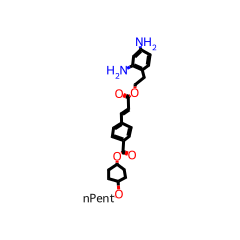 CCCCCOC1CCC(OC(=O)c2ccc(/C=C/C(=O)OCCc3ccc(N)cc3N)cc2)CC1